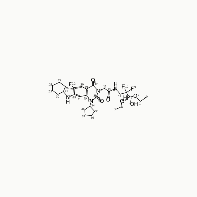 CCO[PH](O)(OCC)C(F)(F)CNC(=O)Cn1c(=O)c2cc(F)c(NC3CCCCC3)cc2n(C2CCCC2)c1=O